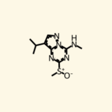 CNc1nc([S+](C)[O-])nc2c(C(C)C)cnn12